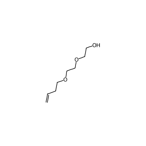 C=CCCOCCOCCO